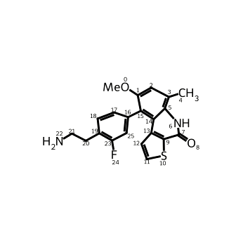 COc1cc(C)c2[nH]c(=O)c3sccc3c2c1-c1ccc(CCN)c(F)c1